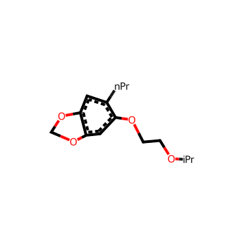 CCCc1cc2c(cc1OCCOC(C)C)OCO2